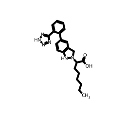 CCCCCCC(C(=O)O)N1Cc2cc(-c3ccccc3-c3nn[nH]n3)ccc2N1